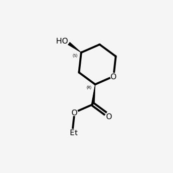 CCOC(=O)[C@H]1C[C@@H](O)CCO1